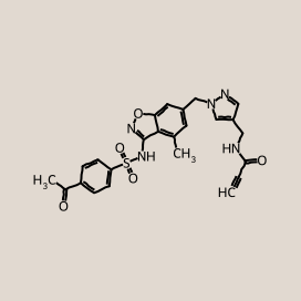 C#CC(=O)NCc1cnn(Cc2cc(C)c3c(NS(=O)(=O)c4ccc(C(C)=O)cc4)noc3c2)c1